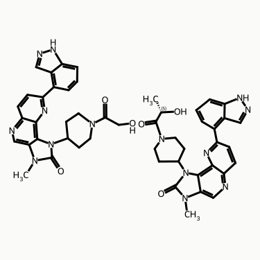 C[C@H](O)C(=O)N1CCC(n2c(=O)n(C)c3cnc4ccc(-c5cccc6[nH]ncc56)nc4c32)CC1.Cn1c(=O)n(C2CCN(C(=O)CO)CC2)c2c3nc(-c4cccc5[nH]ncc45)ccc3ncc21